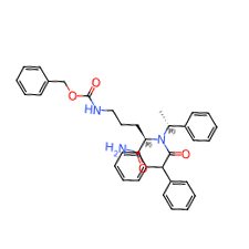 C[C@H](c1ccccc1)N(C(=O)C(c1ccccc1)c1ccccc1)[C@H](CCCNC(=O)OCc1ccccc1)C(N)=O